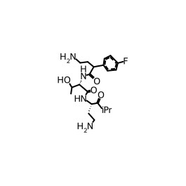 CC(C)C(=O)[C@H](CCN)NC(=O)[C@@H](NC(=O)C(CCN)c1ccc(F)cc1)C(C)O